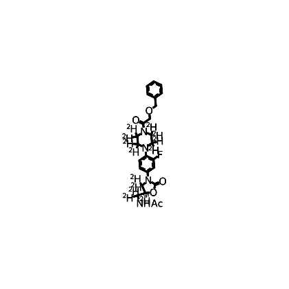 [2H]C1([2H])N(C(=O)COCc2ccccc2)C([2H])([2H])C([2H])([2H])N(c2ccc(N3C(=O)O[C@@]([2H])(C([2H])([2H])NC(C)=O)C3([2H])[2H])cc2F)C1([2H])[2H]